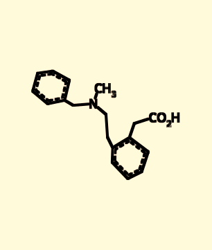 CN(CCc1ccccc1CC(=O)O)Cc1ccccc1